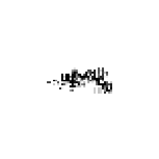 CC(O)[C@H](NS(=O)(=O)NCc1nc([C@@H](N)Cc2cnc[nH]2)no1)C(=O)O